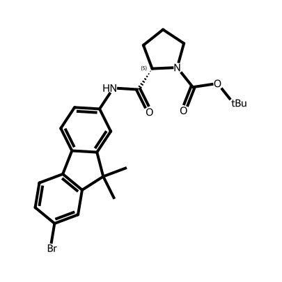 CC(C)(C)OC(=O)N1CCC[C@H]1C(=O)Nc1ccc2c(c1)C(C)(C)c1cc(Br)ccc1-2